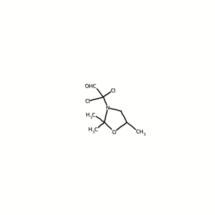 CC1CN(C(Cl)(Cl)C=O)C(C)(C)O1